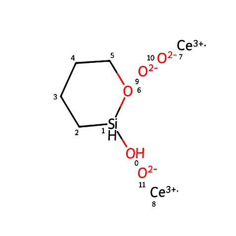 O[SiH]1CCCCO1.[Ce+3].[Ce+3].[O-2].[O-2].[O-2]